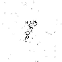 Nc1ncccc1-c1cc(Cc2ccnc(OCC3CC3)c2)no1